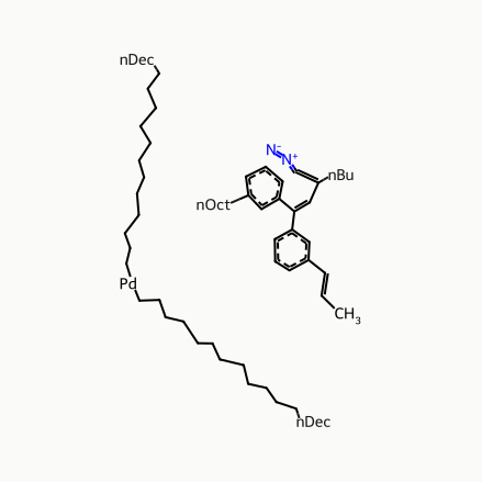 CC=Cc1cccc(C(=CC(=C=[N+]=[N-])CCCC)c2cccc(CCCCCCCC)c2)c1.CCCCCCCCCCCCCCCCCCCCC[CH2][Pd][CH2]CCCCCCCCCCCCCCCCCCCCC